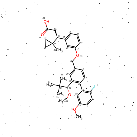 COc1ccc(F)c(-c2ccc(COc3cccc([C@H](CC(=O)O)C4(C)CC4)c3)cc2[C@H](OC)C(C)(C)C)c1